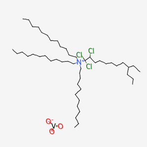 CCCCCCCCCCCC[N+](CCCCCCCCCCCC)(CCCCCCCCCCCC)C(Cl)(Cl)C(Cl)CCCCCCC(CC)CCC.[O]=[V](=[O])[O-]